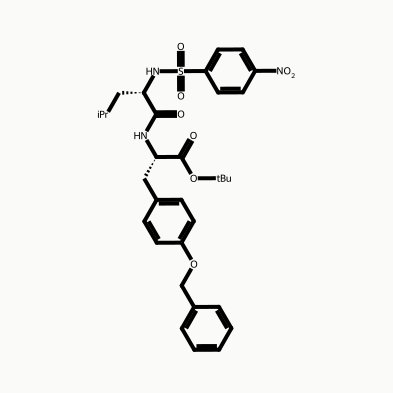 CC(C)C[C@H](NS(=O)(=O)c1ccc([N+](=O)[O-])cc1)C(=O)N[C@@H](Cc1ccc(OCc2ccccc2)cc1)C(=O)OC(C)(C)C